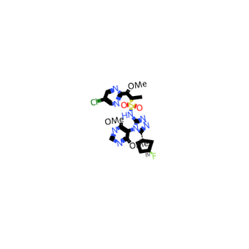 COc1ncnc(OC)c1-n1c(NS(=O)(=O)C(C)C(OC)c2ncc(Cl)cn2)nnc1[C@H]1CC[C@H](F)C1